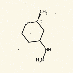 C[C@H]1CC(NN)CCO1